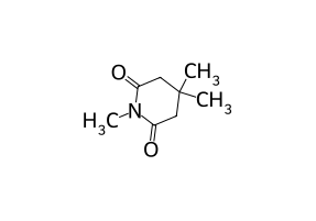 CN1C(=O)CC(C)(C)CC1=O